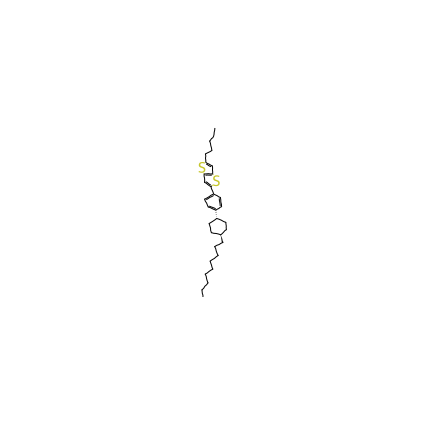 CCCCCCCCC[C@H]1CC[C@H](c2ccc(-c3cc4sc(CCCCC)cc4s3)cc2)CC1